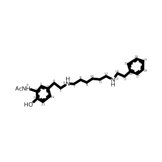 CC(=O)Nc1cc(CCNCCCCCCNCCc2ccccc2)ccc1O